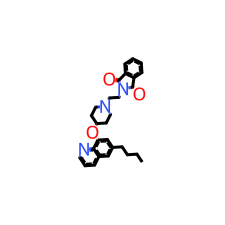 CCCCc1cc(OC2CCN(CCN3C(=O)c4ccccc4C3=O)CC2)c2ncccc2c1